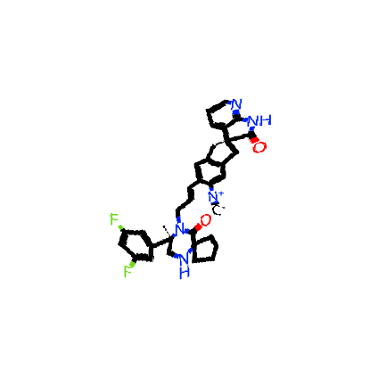 [C-]#[N+]c1cc2c(cc1/C=C/CN1C(=O)C3(CCCC3)NC[C@@]1(C)c1cc(F)cc(F)c1)C[C@@]1(C2)C(=O)Nc2ncccc21